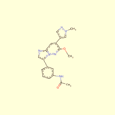 COc1nn2c(-c3cccc(NC(C)=O)c3)cnc2cc1-c1cnn(C)c1